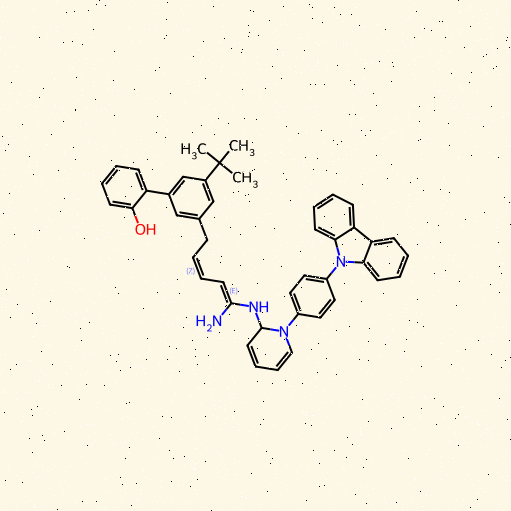 CC(C)(C)c1cc(C/C=C\C=C(/N)NC2C=CC=CN2c2ccc(-n3c4ccccc4c4ccccc43)cc2)cc(-c2ccccc2O)c1